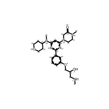 CNCC(O)COc1cccc(-c2nc(N3CCN(C)C(=O)C3)cc(N(C)C3CCOCC3)n2)c1